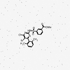 COC(=O)c1cccc(S(=O)(=O)Nc2nc(Cl)c(Br)c(-c3c(C)cccc3C)n2)c1